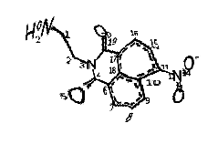 NCCN1C(=O)c2cccc3c([N+](=O)[O-])ccc(c23)C1=O